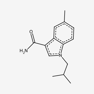 Cc1ccc2c(c1)c(C(N)=O)cn2CC(C)C